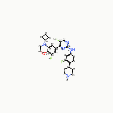 CN1CCC(c2ccc(Nc3ncc(F)c(-c4cc(F)c5c(c4)N(C4CCC4)CCO5)n3)cc2F)CC1